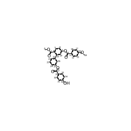 COC(=O)c1ccc(OC(=O)c2ccc(OC)cc2)cc1-c1cccc(OC(=O)c2ccc(O)cc2)c1